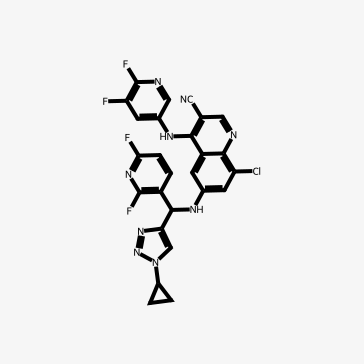 N#Cc1cnc2c(Cl)cc(NC(c3cn(C4CC4)nn3)c3ccc(F)nc3F)cc2c1Nc1cnc(F)c(F)c1